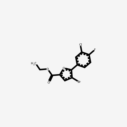 CCOC(=O)c1cc(Br)c(-c2ccc(F)c(Cl)c2)o1